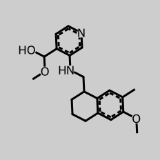 COc1cc2c(cc1C)C(CNc1cnccc1C(O)OC)CCC2